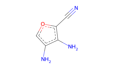 N#Cc1occ(N)c1N